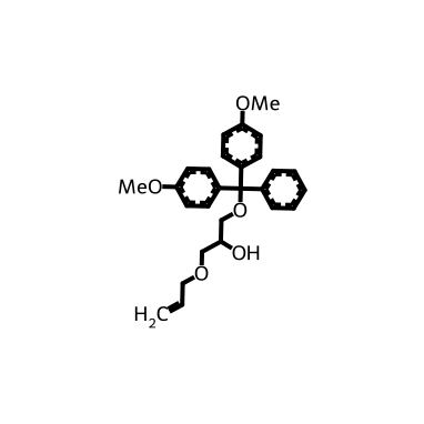 C=CCOCC(O)COC(c1ccccc1)(c1ccc(OC)cc1)c1ccc(OC)cc1